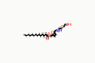 CCCCCCCCCCCCCC(=O)OCc1ccc(CNCCOCCO)o1